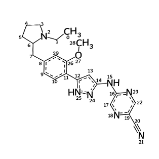 CCN1CCCC1Cc1ccc(-c2cc(Nc3cnc(C#N)cn3)n[nH]2)c(OC)c1